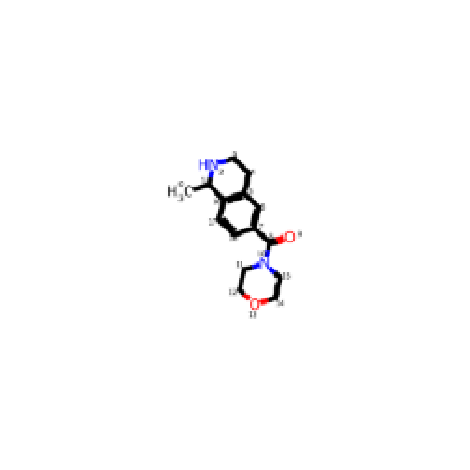 CC1NCCc2cc(C(=O)N3CCOCC3)ccc21